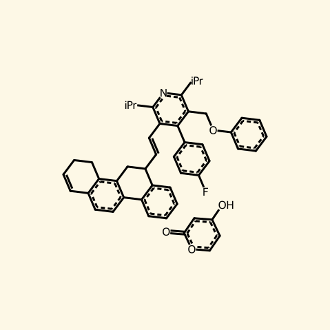 CC(C)c1nc(C(C)C)c(COc2ccccc2)c(-c2ccc(F)cc2)c1C=CC1Cc2c(ccc3c2CCC=C3)-c2ccccc21.O=c1cc(O)cco1